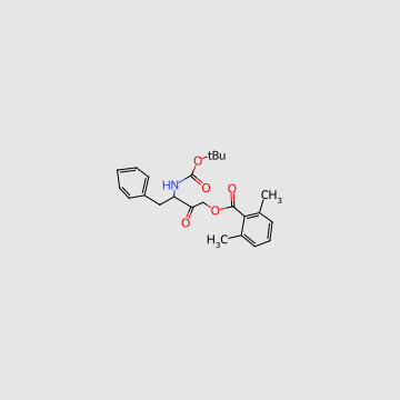 Cc1cccc(C)c1C(=O)OCC(=O)C(Cc1ccccc1)NC(=O)OC(C)(C)C